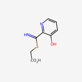 N=C(SCC(=O)O)c1ncccc1O